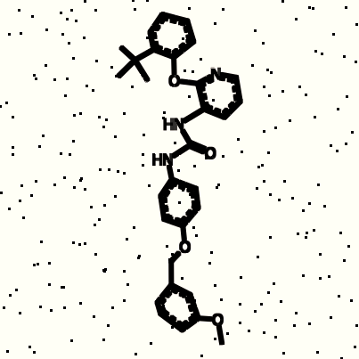 COc1cccc(COc2ccc(NC(=O)Nc3cccnc3Oc3ccccc3C(C)(C)C)cc2)c1